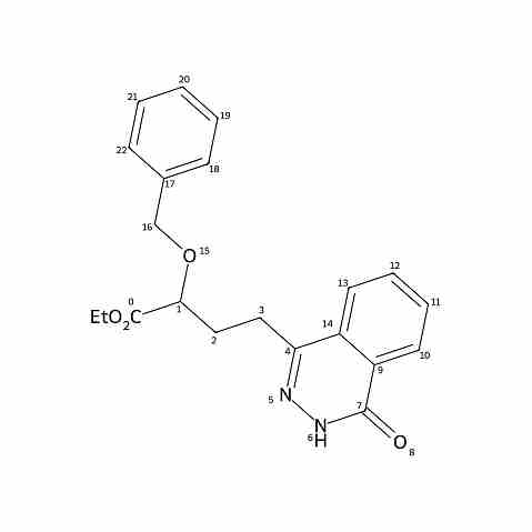 CCOC(=O)C(CCc1n[nH]c(=O)c2ccccc12)OCc1ccccc1